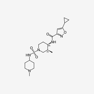 C[C@H]1CN(S(=O)(=O)NC2CCN(C)CC2)CC[C@H]1NC(=O)c1cc(C2CC2)on1